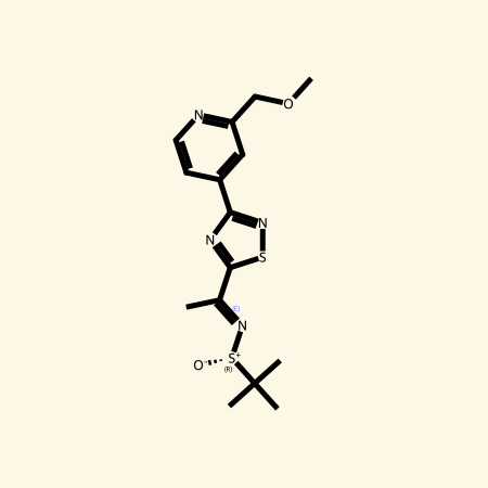 COCc1cc(-c2nsc(/C(C)=N/[S@@+]([O-])C(C)(C)C)n2)ccn1